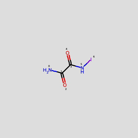 NC(=O)C(=O)NI